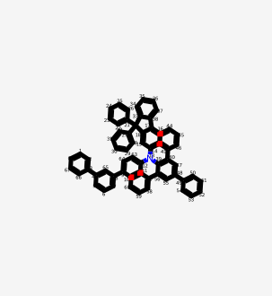 c1ccc(-c2cccc(-c3ccc(N(c4ccc5c(c4)C(c4ccccc4)(c4ccccc4)c4ccccc4-5)c4c(-c5ccccc5)cc(-c5ccccc5)cc4-c4ccccc4)cc3)c2)cc1